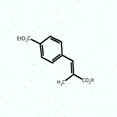 CCOC(=O)c1ccc(C=C(C)C(=O)O)cc1